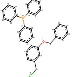 ClCc1cccc(OCc2ccccc2)c1.c1ccc(P(c2ccccc2)c2ccccc2)cc1